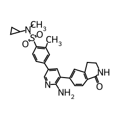 Cc1cc(-c2cnc(N)c(-c3ccc4c(c3)CCNC4=O)c2)ccc1S(=O)(=O)N(C)C1CC1